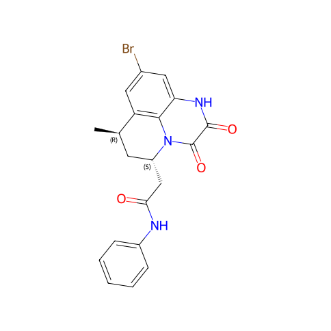 C[C@@H]1C[C@@H](CC(=O)Nc2ccccc2)n2c(=O)c(=O)[nH]c3cc(Br)cc1c32